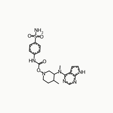 CC1CCN(OC(=O)Nc2ccc(S(N)(=O)=O)cc2)CC1N(C)c1ncnc2[nH]ccc12